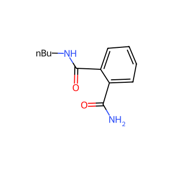 CCCCNC(=O)c1ccccc1C(N)=O